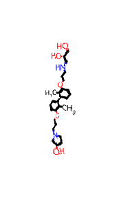 Cc1c(OCCCNC[C@H](O)CO)cccc1-c1cccc(OCCCN2CC[C@@H](O)C2)c1C